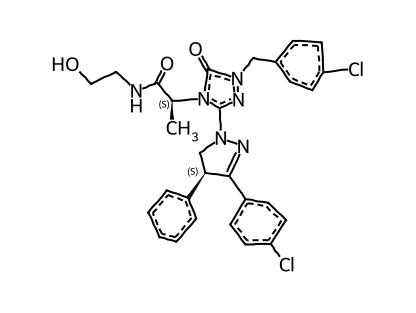 C[C@@H](C(=O)NCCO)n1c(N2C[C@H](c3ccccc3)C(c3ccc(Cl)cc3)=N2)nn(Cc2ccc(Cl)cc2)c1=O